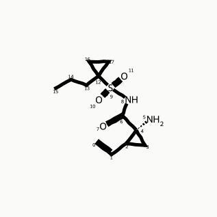 C=CC1C[C@]1(N)C(=O)NS(=O)(=O)C1(CCC)CC1